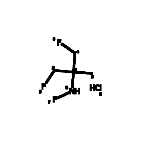 CC(CF)(CF)NF.Cl